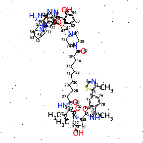 Cc1ncsc1-c1ccc([C@H](C)NC(=O)[C@@H]2C[C@@H](O)CN2C(=O)[C@@H](NC(=O)CCCCCCCCCC(=O)N2CCN(CCOc3cccc(N4C5CCC4CN(c4cc(-c6ccccc6O)nnc4N)C5)c3)CC2)C(C)C)cc1